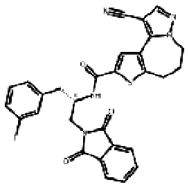 N#Cc1cnn2c1-c1cc(C(=O)N[C@@H](Cc3cccc(F)c3)CN3C(=O)c4ccccc4C3=O)sc1CCC2